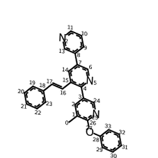 Cc1cc(-c2ncc(-c3cccnc3)cc2/C=C/c2ccccc2)cnc1Oc1ccccc1